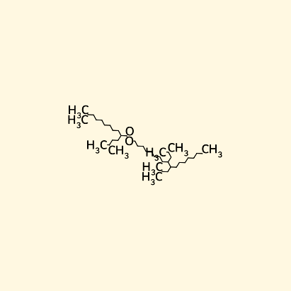 CCCCCCCCC(CC(C)C)C(CCCCCCCCOC(=O)C(CCCCCCCC(C)C)CCC(C)C)CC(C)C